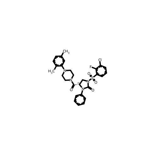 Cc1ccc(C)c(N2CCN(C(=O)[C@@H]3CN(S(=O)(=O)c4cccc(Cl)c4F)C(=O)N3c3ccccc3)CC2)c1